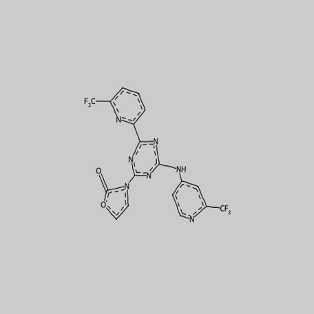 O=c1occn1-c1nc(Nc2ccnc(C(F)(F)F)c2)nc(-c2cccc(C(F)(F)F)n2)n1